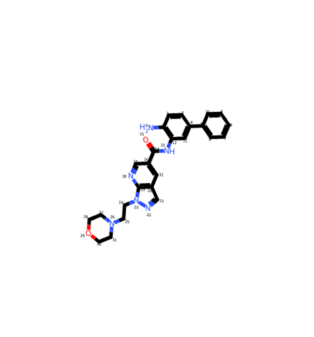 Nc1ccc(-c2ccccc2)cc1NC(=O)c1cnc2c(cnn2CCN2CCOCC2)c1